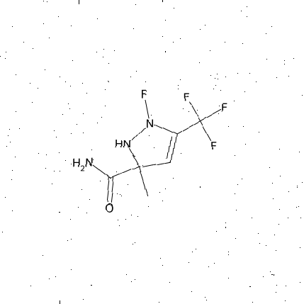 CC1(C(N)=O)C=C(C(F)(F)F)N(F)N1